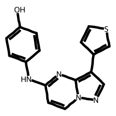 Oc1ccc(Nc2ccn3ncc(-c4ccsc4)c3n2)cc1